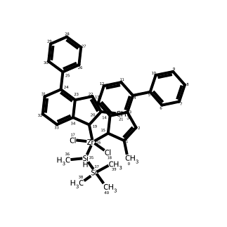 CC1=Cc2c(-c3ccccc3)cccc2[CH]1[Zr]([Cl])([Cl])([CH]1C(C)=Cc2c(-c3ccccc3)cccc21)[SiH](C)[Si](C)(C)C